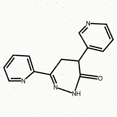 O=C1NN=C(c2ccccn2)CC1c1cccnc1